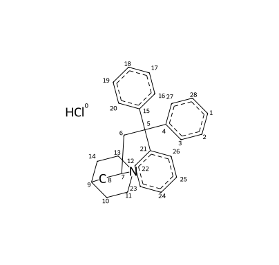 Cl.c1ccc(C(CC2CC3CCN2CC3)(c2ccccc2)c2ccccc2)cc1